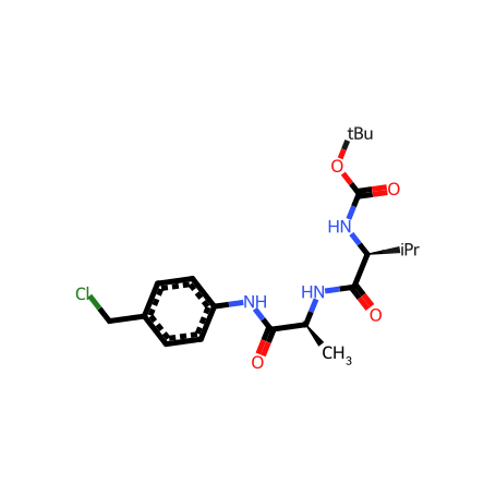 CC(C)[C@H](NC(=O)OC(C)(C)C)C(=O)N[C@@H](C)C(=O)Nc1ccc(CCl)cc1